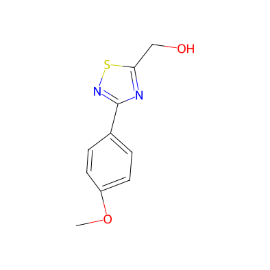 COc1ccc(-c2nsc(CO)n2)cc1